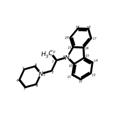 CC(CN1CCCCC1)n1c2ccccc2c2ccccc21